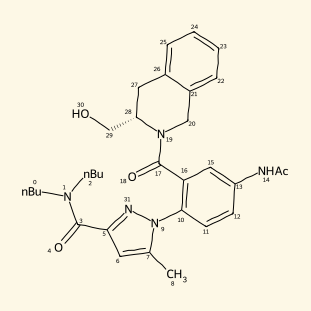 CCCCN(CCCC)C(=O)c1cc(C)n(-c2ccc(NC(C)=O)cc2C(=O)N2Cc3ccccc3C[C@H]2CO)n1